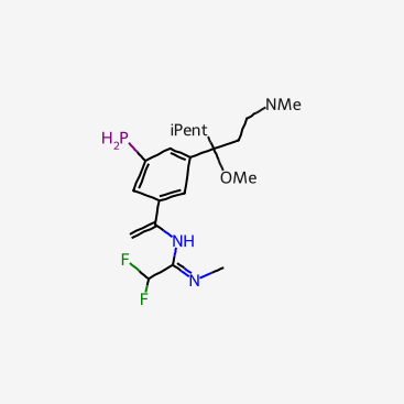 C=C(N/C(=N\C)C(F)F)c1cc(P)cc(C(CCNC)(OC)C(C)CCC)c1